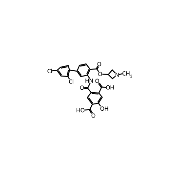 CN1CC(OC(=O)c2ccc(-c3ccc(Cl)cc3Cl)cc2NC(=O)c2cc(C(=O)O)c(O)cc2C(=O)O)C1